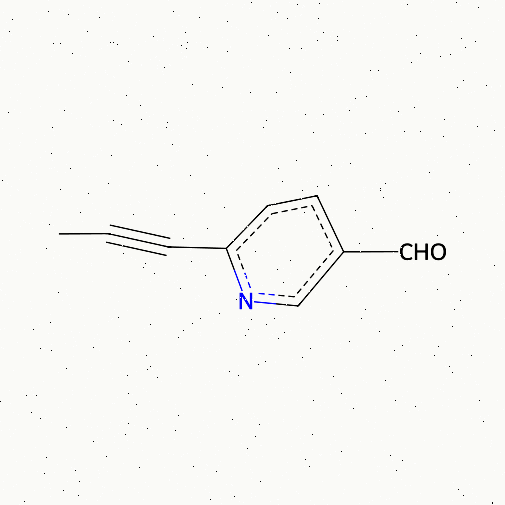 CC#Cc1ccc(C=O)cn1